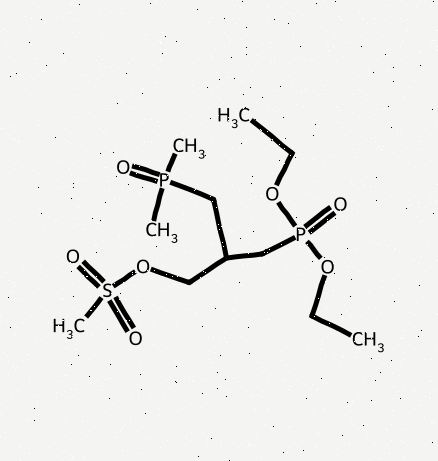 CCOP(=O)(CC(COS(C)(=O)=O)CP(C)(C)=O)OCC